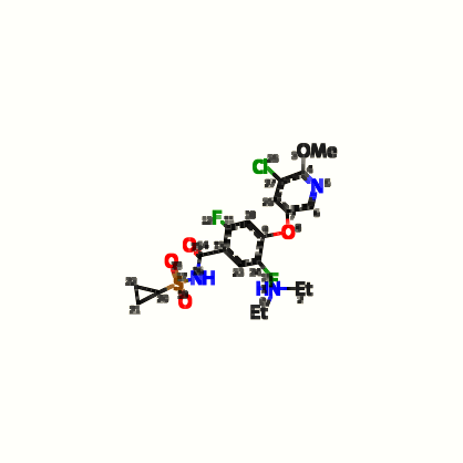 CCNCC.COc1ncc(Oc2cc(F)c(C(=O)NS(=O)(=O)C3CC3)cc2F)cc1Cl